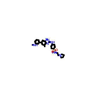 CNc1cccc(-c2cc(C)c3nc(NC4=CCC(S(=O)(=O)NCCN5CCCC5)C=C4)nnc3c2)c1